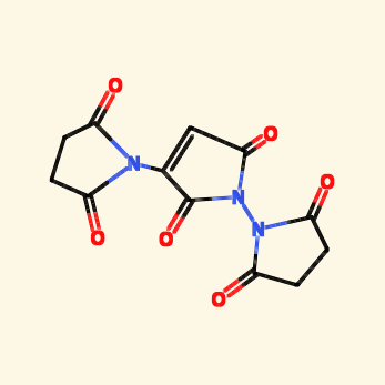 O=C1CCC(=O)N1C1=CC(=O)N(N2C(=O)CCC2=O)C1=O